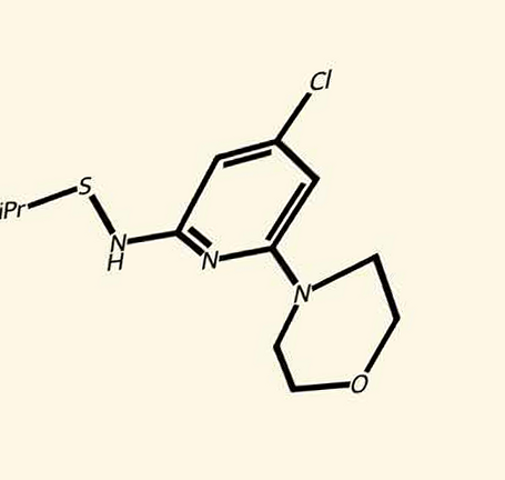 CC(C)SNc1cc(Cl)cc(N2CCOCC2)n1